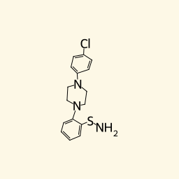 NSc1ccccc1N1CCN(c2ccc(Cl)cc2)CC1